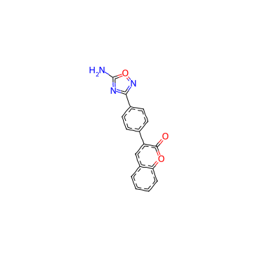 Nc1nc(-c2ccc(-c3cc4ccccc4oc3=O)cc2)no1